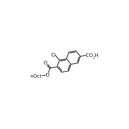 CCCCCCCCOC(=O)c1ccc2cc(C(=O)O)ccc2c1Cl